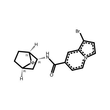 O=C(N[C@@H]1C[C@H]2CC[C@@H]1N2)c1ccn2ccc(Br)c2c1